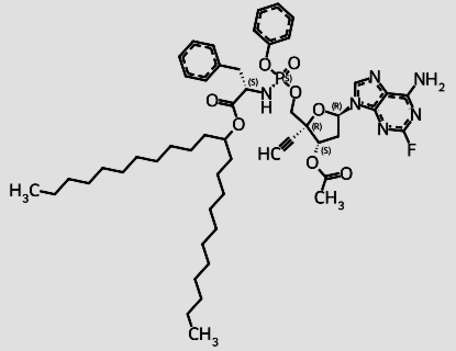 C#C[C@]1(CO[P@@](=O)(N[C@@H](Cc2ccccc2)C(=O)OC(CCCCCCCCCCC)CCCCCCCCCCC)Oc2ccccc2)O[C@@H](n2cnc3c(N)nc(F)nc32)C[C@@H]1OC(C)=O